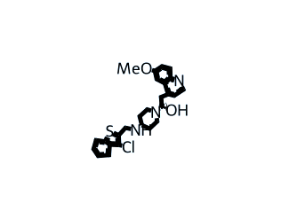 COc1ccc2nccc(C[C@@H](O)N3CCC(NCc4sc5ccccc5c4Cl)CC3)c2c1